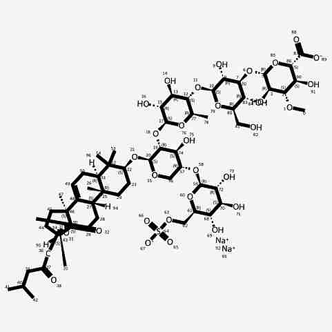 CO[C@@H]1[C@@H](O)[C@H](O[C@@H]2[C@@H](O)[C@H](O[C@H]3[C@H](O)[C@@H](O)[C@H](O[C@H]4[C@H](O[C@H]5CC[C@]6(C)[C@@H]7CC[C@]89C(=O)O[C@@](C)(CC(=O)CC(C)C)[C@H]8CC[C@@]9(C)C7=CC[C@H]6C5(C)C)OC[C@@H](O[C@@H]5O[C@H](COS(=O)(=O)[O-])[C@@H](O)[C@H](O)[C@H]5O)[C@@H]4O)O[C@@H]3C)O[C@H](CO)[C@H]2O)O[C@H](C(=O)[O-])[C@H]1O.[Na+].[Na+]